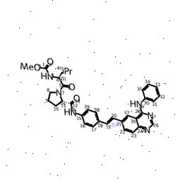 COC(=O)N[C@H](C(=O)N1CCC[C@H]1C(=O)Nc1ccc(/C=C/c2ccc3ncnc(Nc4ccccc4)c3c2)cc1)C(C)C